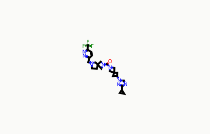 O=C(N1CC2(CC(n3cnc(C4CC4)n3)C2)C1)N1CC2(CCN(Cc3ccc(C(F)(F)F)nn3)C2)C1